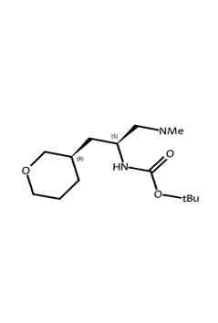 CNC[C@H](C[C@H]1CCCOC1)NC(=O)OC(C)(C)C